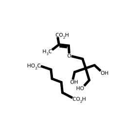 CC(=COCC(CO)(CO)CO)C(=O)O.O=C(O)CCCCC(=O)O